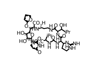 CC(C)C(NC(=O)NC(C(=O)NC(C(=O)NCCCNC(C(=O)O)[C@@H](Oc1ccco1)[C@H]1O[C@@H](n2ccc(=O)[nH]c2=O)[C@@H](O)[C@H]1O)C(O)C(C)C)C1CCNC(=N)N1)C(=O)O